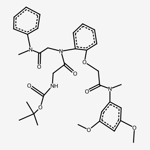 COc1cc(OC)cc(N(C)C(=O)COc2ccccc2N(CC(=O)N(C)c2ccccc2)C(=O)CNC(=O)OC(C)(C)C)c1